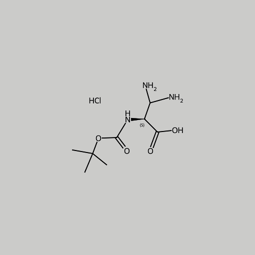 CC(C)(C)OC(=O)N[C@H](C(=O)O)C(N)N.Cl